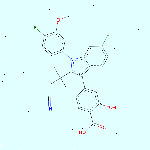 COc1cc(-n2c(C(C)(C)CC#N)c(-c3ccc(C(=O)O)c(O)c3)c3ccc(F)cc32)ccc1F